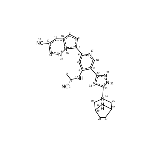 C[C@@H](C#N)Nc1cc(-c2ccc3cc(C#N)cnn23)ncc1-c1nnc(N2CC3CCC(C2)N3)s1